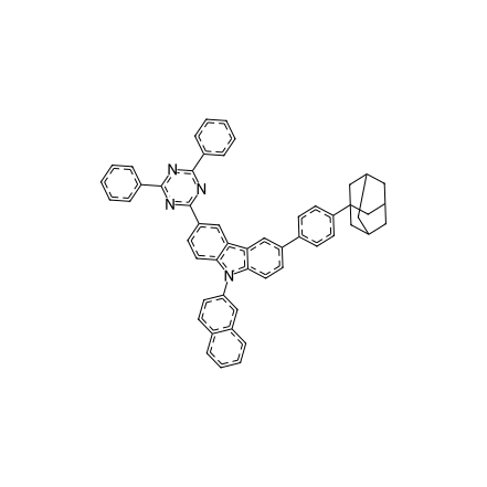 c1ccc(-c2nc(-c3ccccc3)nc(-c3ccc4c(c3)c3cc(-c5ccc(C67CC8CC(CC(C8)C6)C7)cc5)ccc3n4-c3ccc4ccccc4c3)n2)cc1